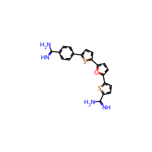 N=C(N)c1ccc(-c2ccc(-c3ccc(-c4ccc(C(=N)N)s4)o3)s2)cc1